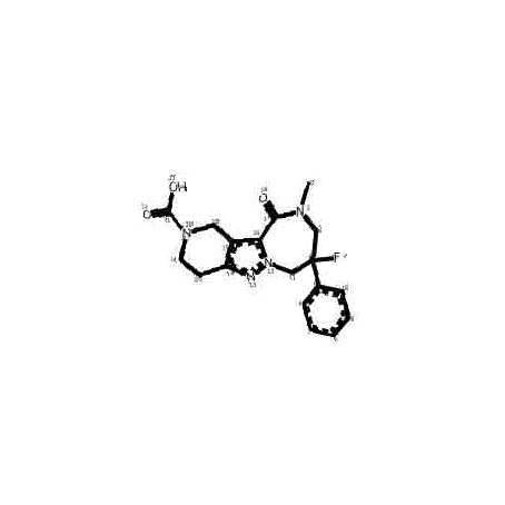 CN1CC(F)(c2ccccc2)Cn2nc3c(c2C1=O)CN(C(=O)O)CC3